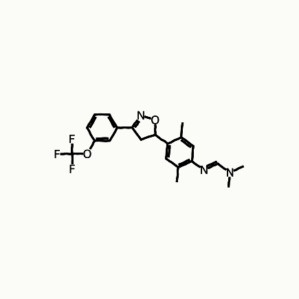 Cc1cc(C2CC(c3cccc(OC(F)(F)F)c3)=NO2)c(C)cc1N=CN(C)C